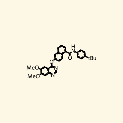 COc1cc2ncnc(Oc3ccc4c(C(=O)Nc5ccc(C(C)(C)C)cc5)cccc4c3)c2cc1OC